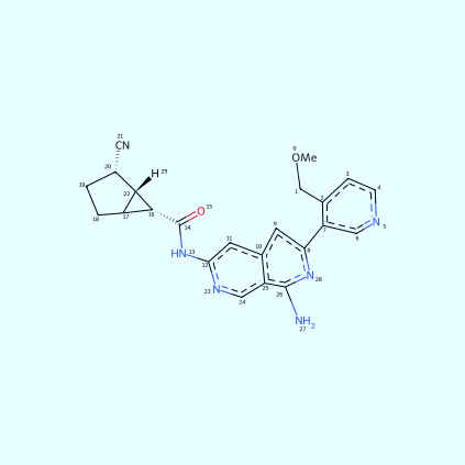 COCc1ccncc1-c1cc2cc(NC(=O)[C@@H]3C4CC[C@H](C#N)[C@@H]43)ncc2c(N)n1